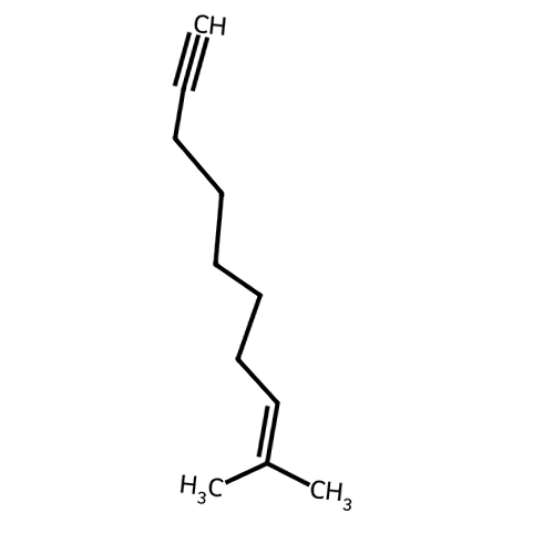 C#CCCCCCC=C(C)C